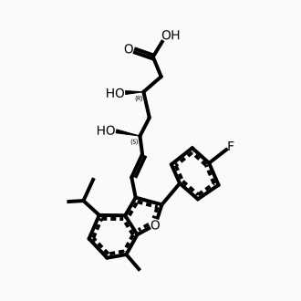 Cc1ccc(C(C)C)c2c(C=C[C@@H](O)C[C@@H](O)CC(=O)O)c(-c3ccc(F)cc3)oc12